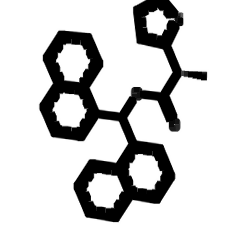 C[C@H](C(=O)OC(c1cccc2ccccc12)c1cccc2ccccc12)c1cccs1